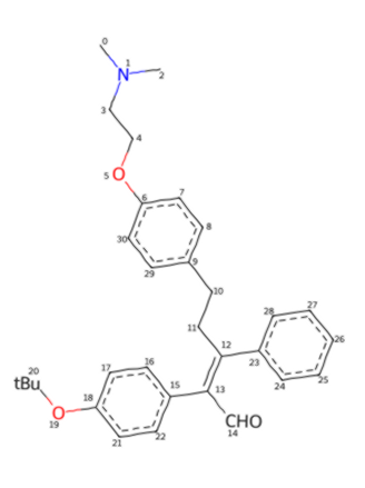 CN(C)CCOc1ccc(CCC(=C(C=O)c2ccc(OC(C)(C)C)cc2)c2ccccc2)cc1